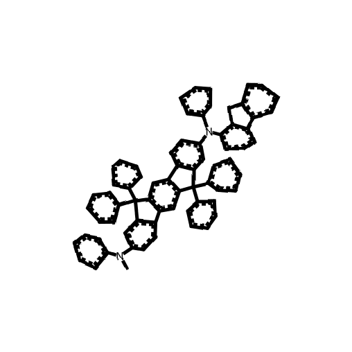 CN(c1ccccc1)c1ccc2c(c1)C(c1ccccc1)(c1ccccc1)c1cc3c(cc1-2)C(c1ccccc1)(c1ccccc1)c1cc(N(c2ccccc2)c2cccc4c2Cc2ccccc2-4)ccc1-3